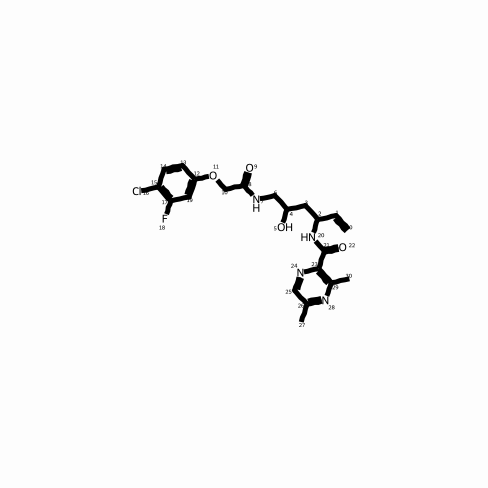 C=CC(CC(O)CNC(=O)COc1ccc(Cl)c(F)c1)NC(=O)c1ncc(C)nc1C